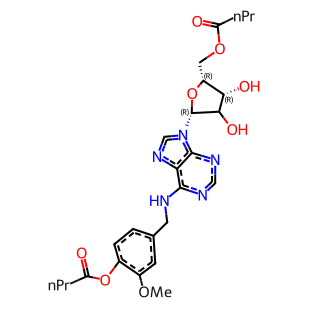 CCCC(=O)OC[C@H]1O[C@@H](n2cnc3c(NCc4ccc(OC(=O)CCC)c(OC)c4)ncnc32)C(O)[C@H]1O